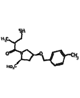 Cc1ccc(CO[C@H]2C[C@@H](C(=O)O)N(C(=O)C(C)CS)C2)cc1